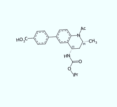 CC(=O)N1c2ccc(-c3ccc(C(=O)O)cc3)cc2[C@@H](NC(=O)OC(C)C)C[C@H]1C